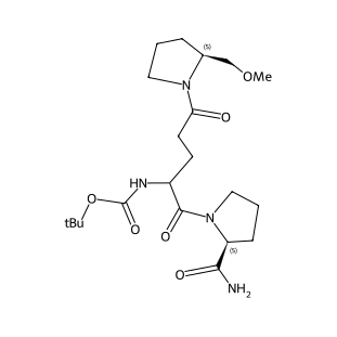 COC[C@@H]1CCCN1C(=O)CCC(NC(=O)OC(C)(C)C)C(=O)N1CCC[C@H]1C(N)=O